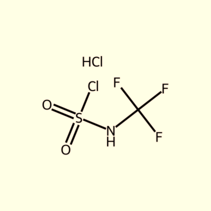 Cl.O=S(=O)(Cl)NC(F)(F)F